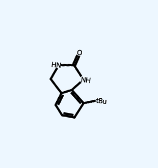 CC(C)(C)c1cccc2c1NC(=O)NC2